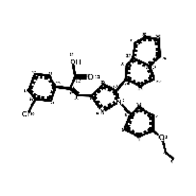 CCOc1ccc(-n2nc(C=C(C(=O)O)c3cccc(Cl)c3)cc2-c2ccc3ccccc3c2)cc1